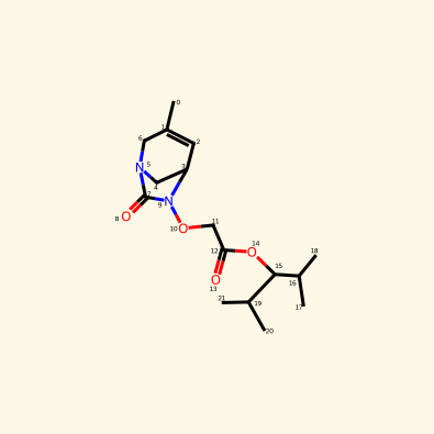 CC1=CC2CN(C1)C(=O)N2OCC(=O)OC(C(C)C)C(C)C